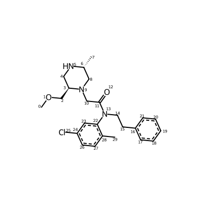 COC[C@H]1CN[C@H](C)CN1CC(=O)N(CCc1ccccc1)c1cc(Cl)ccc1C